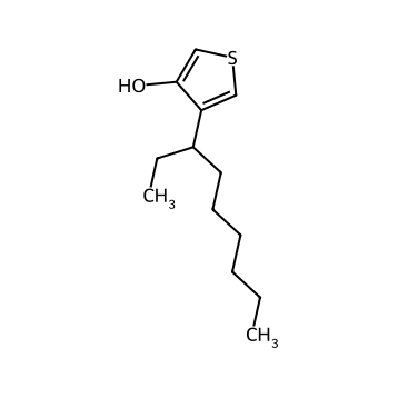 CCCCCCC(CC)c1cscc1O